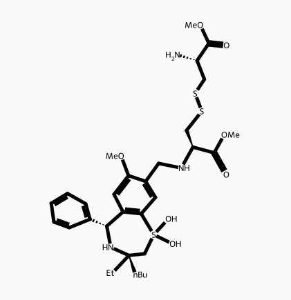 CCCC[C@]1(CC)CS(O)(O)c2cc(CN[C@@H](CSSC[C@H](N)C(=O)OC)C(=O)OC)c(OC)cc2[C@@H](c2ccccc2)N1